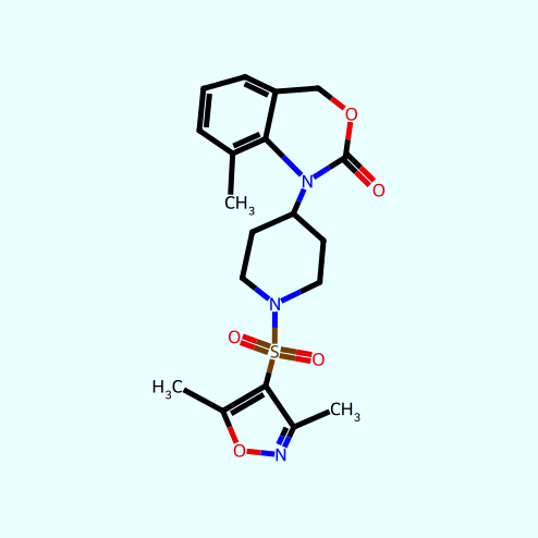 Cc1cccc2c1N(C1CCN(S(=O)(=O)c3c(C)noc3C)CC1)C(=O)OC2